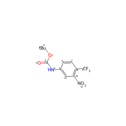 CC(C)(C)OC(=O)Nc1ccc(C(F)(F)F)c([N+](=O)[O-])c1